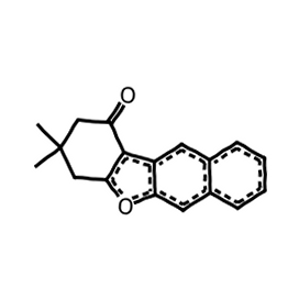 CC1(C)CC(=O)c2c(oc3cc4ccccc4cc23)C1